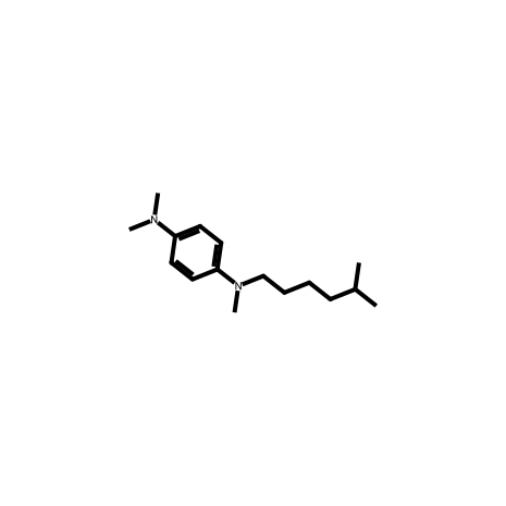 CC(C)CCCCN(C)c1ccc(N(C)C)cc1